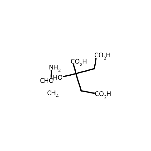 C.NC=O.O=C(O)CC(O)(CC(=O)O)C(=O)O